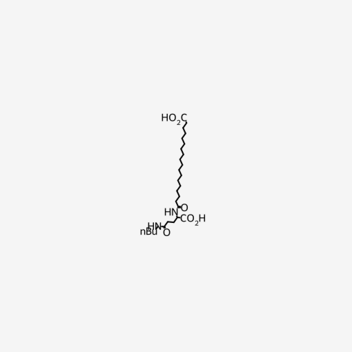 CCCCNC(=O)CCC(NC(=O)CCCCCCCCCCCCCCCCC(=O)O)C(=O)O